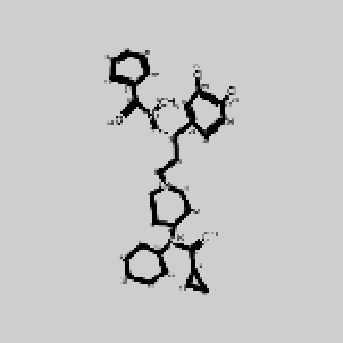 CN(C[C@@H](CCN1CCC(N(C(=O)C2CC2)C2CCCCC2)CC1)c1ccc(Cl)c(Cl)c1)C(=O)c1ccccc1